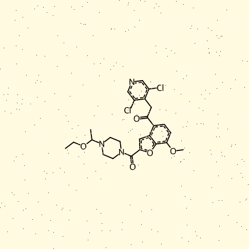 CCOC(C)N1CCN(C(=O)c2cc3c(C(=O)Cc4c(Cl)cncc4Cl)ccc(OC)c3o2)CC1